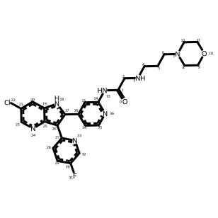 O=C(CNCCCN1CCOCC1)Nc1cc(-c2[nH]c3cc(Cl)cnc3c2-c2ccc(F)cn2)ccn1